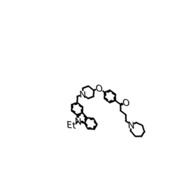 CCn1c2ccccc2c2cc(CN3CCC(Oc4ccc(C(=O)CCCN5CCCCCC5)cc4)CC3)ccc21